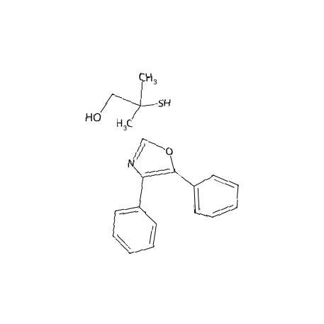 CC(C)(S)CO.c1ccc(-c2ncoc2-c2ccccc2)cc1